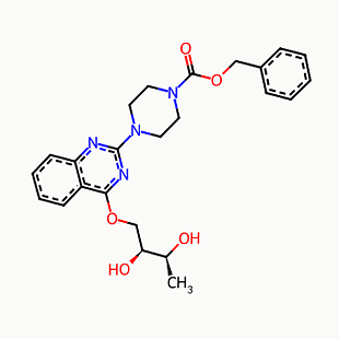 C[C@H](O)[C@@H](O)COc1nc(N2CCN(C(=O)OCc3ccccc3)CC2)nc2ccccc12